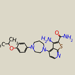 CC(C)Oc1ccc(N2CCCN(c3ccnc4sc(C(N)=O)c(N)c34)CC2)cc1